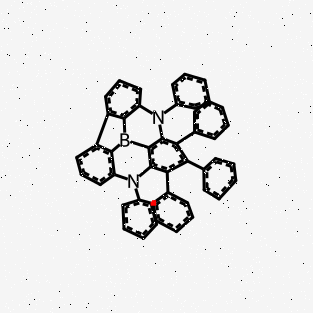 c1ccc(-c2c(-c3ccccc3)c3c4c(c2-c2ccccc2)N(c2ccccc2)c2cccc5c2B4c2c-5cccc2N3c2ccccc2)cc1